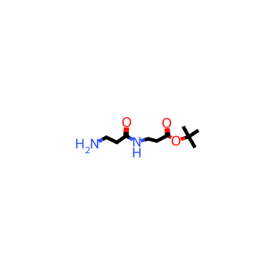 CC(C)(C)OC(=O)CCNC(=O)CCN